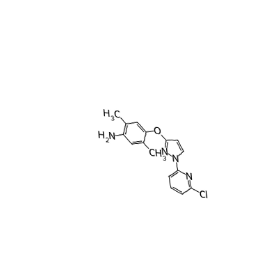 Cc1cc(Oc2ccn(-c3cccc(Cl)n3)n2)c(C)cc1N